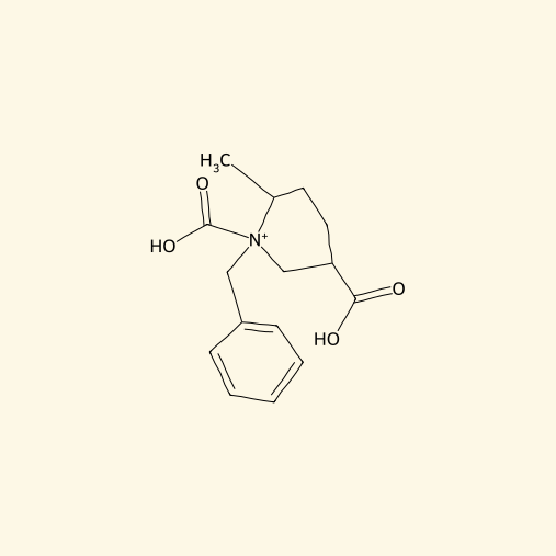 CC1CCC(C(=O)O)C[N+]1(Cc1ccccc1)C(=O)O